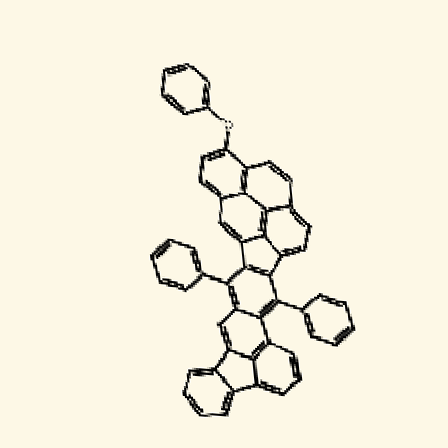 c1ccc(Oc2ccc3cc4c5c(-c6ccccc6)c6cc7c8ccccc8c8cccc(c6c(-c6ccccc6)c5c5ccc6ccc2c3c6c45)c87)cc1